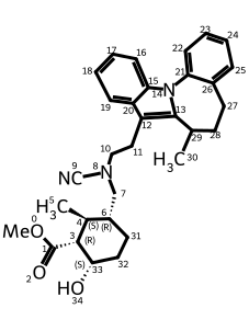 COC(=O)[C@@H]1[C@@H](C)[C@H](CN(C#N)CCc2c3n(c4ccccc24)-c2ccccc2CCC3C)CC[C@@H]1O